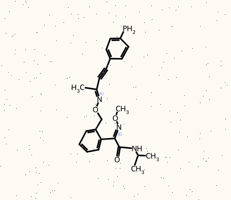 CO/N=C(/C(=O)NC(C)C)c1ccccc1CO/N=C(\C)C#Cc1ccc(P)cc1